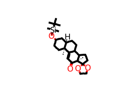 CC(C)(C)[Si](C)(C)OC1CC[C@]2(C)C3=CC(=O)[C@@]4(C)C(CCC45OCCO5)C3CC[C@@H]2C1